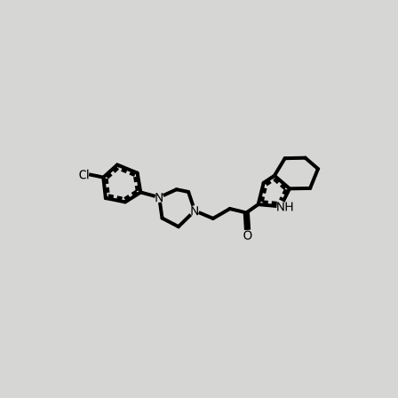 O=C(CCN1CCN(c2ccc(Cl)cc2)CC1)c1cc2c([nH]1)CCCC2